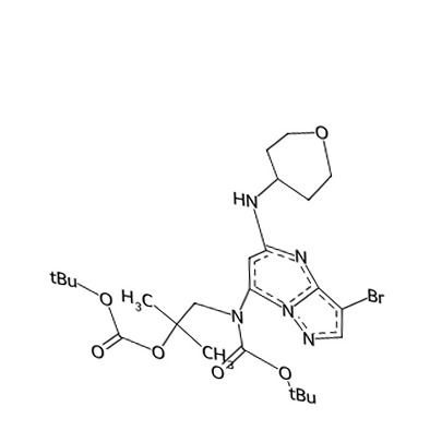 CC(C)(C)OC(=O)OC(C)(C)CN(C(=O)OC(C)(C)C)c1cc(NC2CCOCC2)nc2c(Br)cnn12